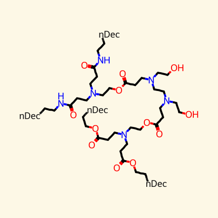 CCCCCCCCCCCCNC(=O)CCN(CCOC(=O)CCN(CCO)CCN(CCO)CCC(=O)OCCN(CCC(=O)OCCCCCCCCCCCC)CCC(=O)OCCCCCCCCCCCC)CCC(=O)NCCCCCCCCCCCC